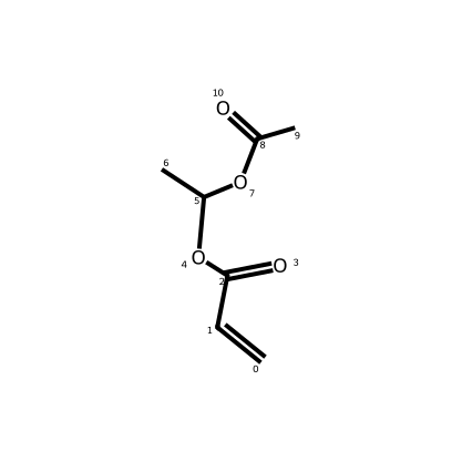 C=CC(=O)OC(C)OC(C)=O